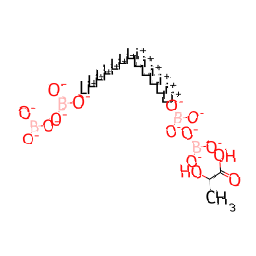 CC(O)C(=O)O.[Li+].[Li+].[Li+].[Li+].[Li+].[Li+].[Li+].[Li+].[Li+].[Li+].[Li+].[Li+].[O-]B([O-])[O-].[O-]B([O-])[O-].[O-]B([O-])[O-].[O-]B([O-])[O-]